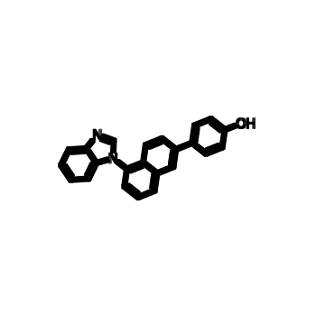 Oc1ccc(-c2ccc3c(-n4cnc5ccccc54)cccc3c2)cc1